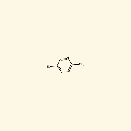 CCc1cnc(C(F)(F)F)cn1